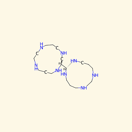 C1CNCCNCCCN[C@H]([C@@H]2CNCCCNCCNCCCN2)CNC1